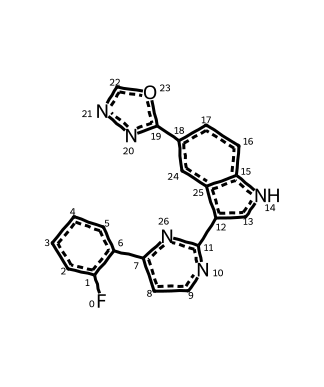 Fc1ccccc1-c1ccnc(-c2c[nH]c3ccc(-c4nnco4)cc23)n1